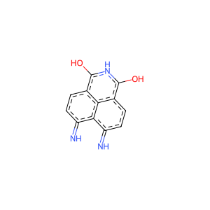 N=c1ccc2c(O)[nH]c(O)c3ccc(=N)c1c23